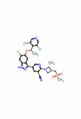 C[C@@H]1[C@@H](CS(C)(=O)=O)CN1c1ncc(-c2n[nH]c3cc(F)c(O[C@H](C)c4c(Cl)cncc4Cl)cc23)cc1C#N